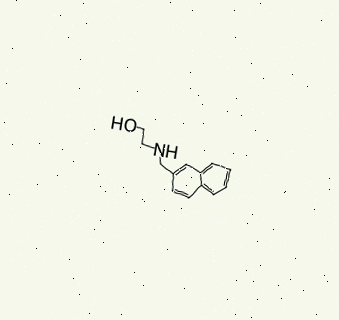 OCCNCc1ccc2ccccc2c1